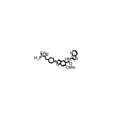 COc1cc2nn(C3CCC(CC(=O)N(C)C)CC3)cc2cc1C(=O)Nc1cnc2cccnn12